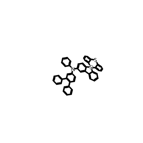 c1ccc(-c2ccc(N(c3ccccc3)c3ccc4c(c3)-c3ccccc3[Si]43c4ccccc4Sc4ccccc43)cc2-c2ccccc2)cc1